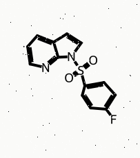 O=S(=O)(c1ccc(F)cc1)n1ccc2c[c]cnc21